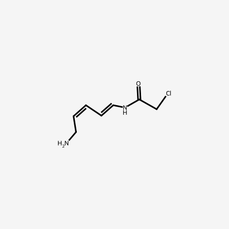 NC/C=C\C=CNC(=O)CCl